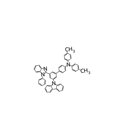 Cc1ccc(N(c2ccc(C)cc2)c2ccc(-c3cc(-c4nc5ccccc5n4-c4ccccc4)cc(-n4c5ccccc5c5ccccc54)c3)cc2)cc1